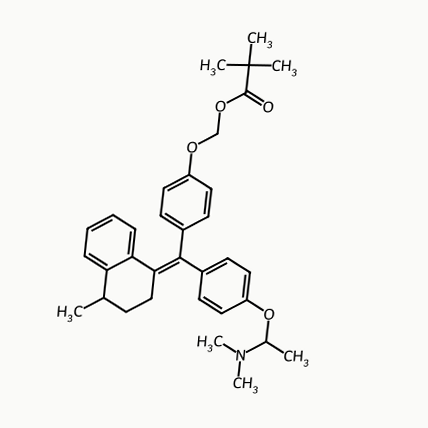 CC1CCC(=C(c2ccc(OCOC(=O)C(C)(C)C)cc2)c2ccc(OC(C)N(C)C)cc2)c2ccccc21